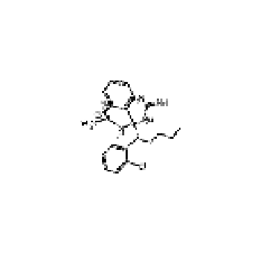 CCCCC(c1ccccc1Cl)C(NC(=N)N)(NC(=N)N)c1ccccc1Cl